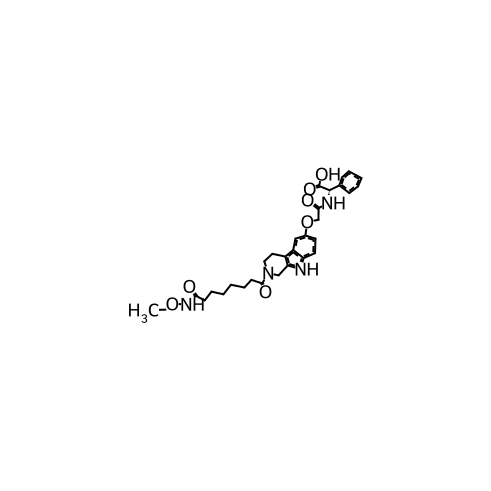 CCONC(=O)CCCCCCC(=O)N1CCc2c([nH]c3ccc(OCC(=O)N[C@H](C(=O)O)c4ccccc4)cc23)C1